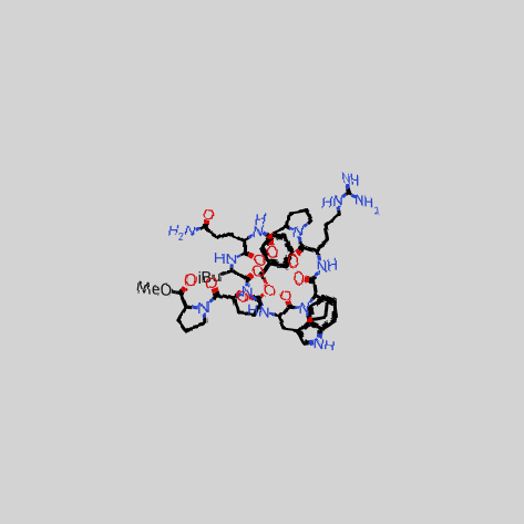 CCC(C)C(NC(=O)C(CCC(N)=O)NC(=O)C1CCCN1C(=O)C(CCCNC(=N)N)NC(=O)C1CCCN1C(=O)C(Cc1c[nH]c2ccccc12)NC(=O)OCc1ccccc1)C(=O)N1CCCC1C(=O)N1CCCC1C(=O)OC